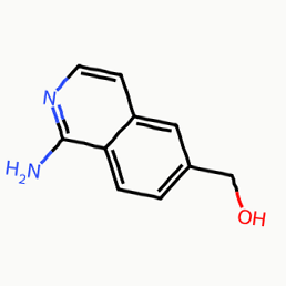 Nc1nccc2cc(CO)ccc12